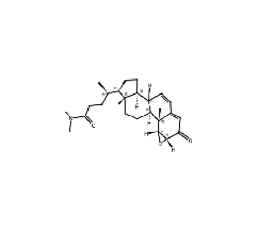 C[C@H](CCC(=O)N(C)C)[C@H]1CC[C@H]2[C@@H]3C=CC4=CC(=O)[C@@H]5O[C@@H]5[C@]4(C)[C@H]3CC[C@]12C